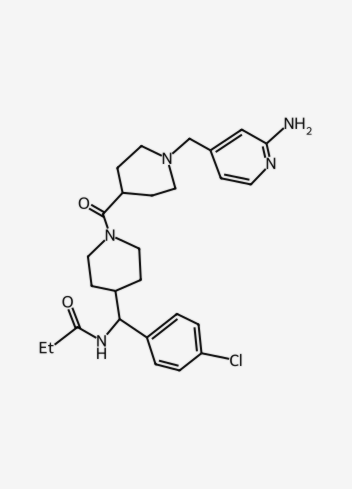 CCC(=O)NC(c1ccc(Cl)cc1)C1CCN(C(=O)C2CCN(Cc3ccnc(N)c3)CC2)CC1